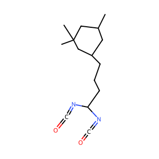 CC1CC(CCCC(N=C=O)N=C=O)CC(C)(C)C1